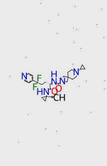 C#CC1(NC(=O)[C@H](CCC(F)(F)c2ccncc2)NC(=O)N2CC3(CCN(C4CC4)CC3)C2)CC1